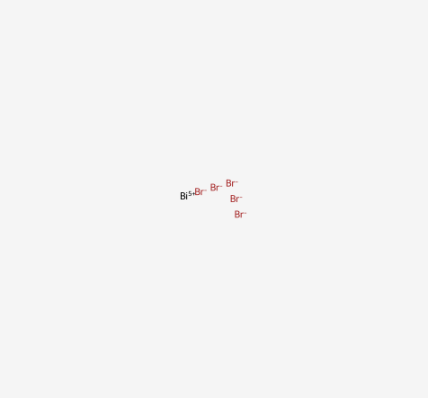 [Bi+5].[Br-].[Br-].[Br-].[Br-].[Br-]